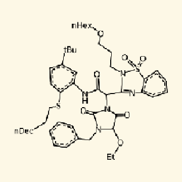 CCCCCCCCCCCCSc1ccc(C(C)(C)C)cc1NC(=O)C(C1=Nc2ccccc2S(=O)(=O)N1CCCOCCCCCC)N1C(=O)C(OCC)N(Cc2ccccc2)C1=O